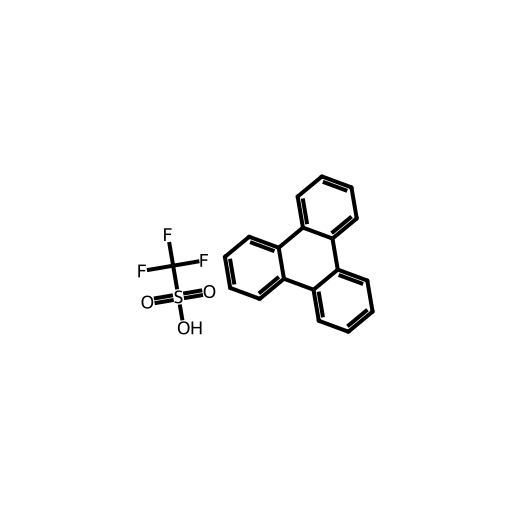 O=S(=O)(O)C(F)(F)F.c1ccc2c(c1)c1ccccc1c1ccccc21